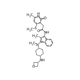 CSc1cc(C)[nH]c(=O)c1CC(=O)Nc1c(C)n([C@H](C)C2CCC(NC3COC3)CC2)c2ccccc12